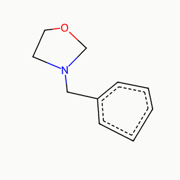 c1ccc(CN2CCOC2)cc1